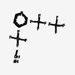 CO.F[B-](F)(F)F.F[B-](F)(F)F.F[B-](F)(F)F.[KH].c1ccncc1